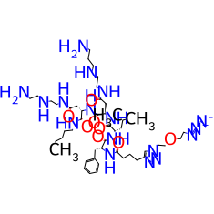 CCCCCNC(=O)[C@H](CC(=O)NCCNCCN)NC(=O)[C@@H](CC(=O)NCCNCCCN)NC(=O)[C@H](CC(C)C)NC(=O)[C@@H](Cc1ccccc1)NC(=O)CCCc1cn(CCOCCN=[N+]=[N-])nn1